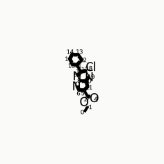 CCOC(=O)c1cnc2nc(-c3ccccc3)c(Cl)nc2c1